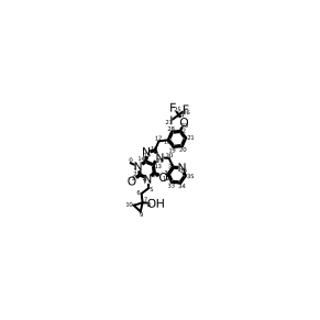 Cn1c(=O)n(CCC2(O)CC2)c(=O)c2c1nc(Cc1cccc(OC(F)(F)I)c1)n2Cc1ccccn1